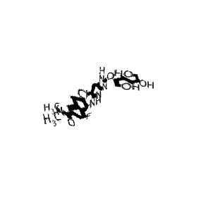 CN(C)C(=O)c1cc(F)c2c(c1)CC[C@@H]2Nc1nc2nc(O[C@@H]3CO[C@H]4[C@@H]3OC[C@H]4O)[nH]c2cc1Cl